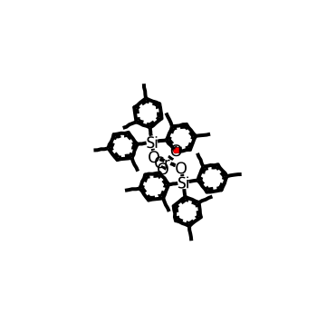 Cc1ccc([Si]([O][Cr](=[O])(=[O])[O][Si](c2ccc(C)cc2C)(c2ccc(C)cc2C)c2ccc(C)cc2C)(c2ccc(C)cc2C)c2ccc(C)cc2C)c(C)c1